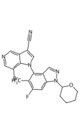 Cc1c(F)cc2c(cnn2C2CCCCO2)c1-n1cc(C#N)c2cncc(Br)c21